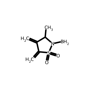 BN1C(C)C(=C)C(=C)S1(=O)=O